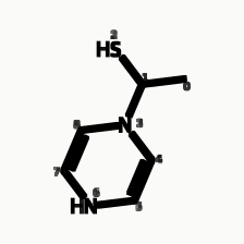 CC(S)N1C=CNC=C1